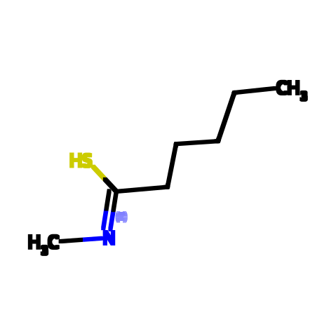 CCCCC/C(S)=N/C